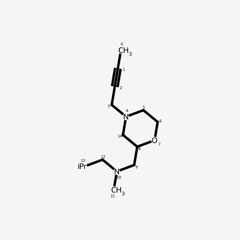 CC#CCN1CCOC(CN(C)CC(C)C)C1